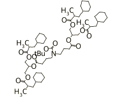 CC(CC1CCCCC1)C(=O)OCC(COC(=O)C(C)CC1CCCCC1)OC(=O)CCCN(CCCC(=O)OC(COC(=O)C(C)CC1CCCCC1)COC(=O)C(C)CC1CCCCC1)C(=O)OC(C)(C)C